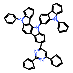 c1ccc(-c2cc(-c3ccc4c(c3)c3ccc5c(c6ccccc6n5-c5ccccc5)c3n4-c3ccc4c5ccccc5n(-c5ccccc5)c4c3)nc(-c3ccccc3)n2)cc1